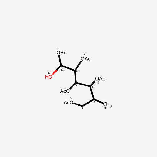 CC(=O)OCC(C)C(OC(C)=O)C(OC(C)=O)C(OC(C)=O)C(O)OC(C)=O